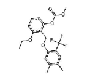 CCOc1cccc(OC(=O)OC)c1COc1cc(C)c(C)cc1C(F)(F)F